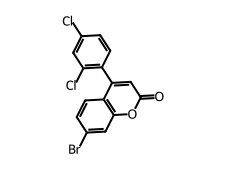 O=c1cc(-c2ccc(Cl)cc2Cl)c2ccc(Br)cc2o1